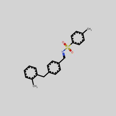 Cc1ccc(S(=O)(=O)N=Cc2ccc(Cc3ccccc3C)cc2)cc1